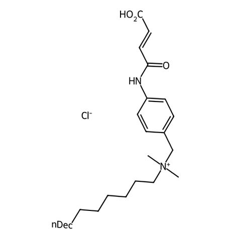 CCCCCCCCCCCCCCCC[N+](C)(C)Cc1ccc(NC(=O)C=CC(=O)O)cc1.[Cl-]